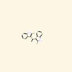 C=C(c1c(C)n(CCCCCCCC)c2ccccc12)c1c(C)n(CCCCCCCC)c2ccccc12